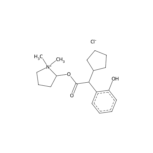 C[N+]1(C)CCCC1OC(=O)C(c1ccccc1O)C1CCCC1.[Cl-]